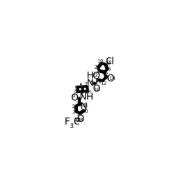 O=C(NC12CCC1C(NC(=O)[C@H]1CC(=O)c3cc(Cl)ccc3O1)C2)c1ccc(OC(F)(F)F)cn1